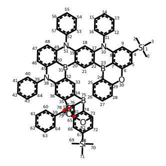 C[Si](C)(C)c1cc2c3c(c1)N(c1ccccc1)c1cc4c(cc1B3c1ccccc1O2)B1c2cc3c(cc2N(c2ccccc2)c2cccc(c21)N4c1ccccc1)N(c1ccccc1)c1cc([Si](C)(C)C)cc2c1B3c1ccccc1O2